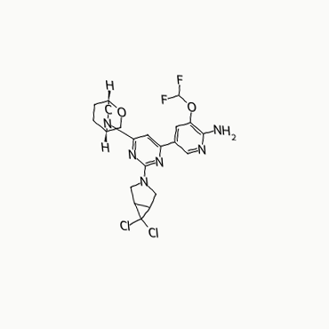 Nc1ncc(-c2cc(N3C[C@@H]4CC[C@H]3CO4)nc(N3CC4C(C3)C4(Cl)Cl)n2)cc1OC(F)F